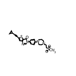 CS(=O)(=O)CCN1CCCN(c2ccc(-n3cnc4cc(C#CC5CC5)sc4c3=O)cc2)CC1